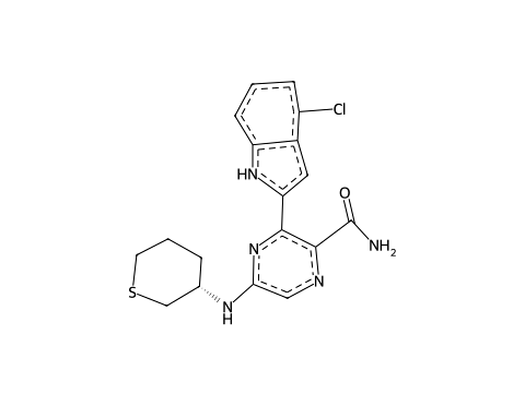 NC(=O)c1ncc(N[C@H]2CCCSC2)nc1-c1cc2c(Cl)cccc2[nH]1